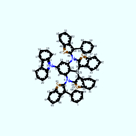 c1ccc(-c2c(N3c4cc(-n5c6ccccc6c6ccccc65)cc5c4B(c4c3sc3ccccc43)c3c(sc4ccccc34)N5c3sc4ccccc4c3-c3ccccc3)sc3ccccc23)cc1